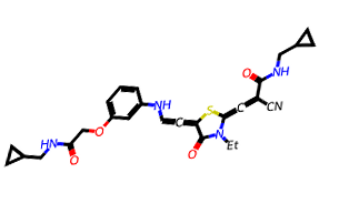 CCn1c(=C=C(C#N)C(=O)NCC2CC2)sc(=C=CNc2cccc(OCC(=O)NCC3CC3)c2)c1=O